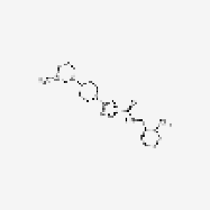 Cc1ccccc1CNC(=O)c1cnc(N2CCC(N3CCC[C@@H](C)C3)CC2)s1